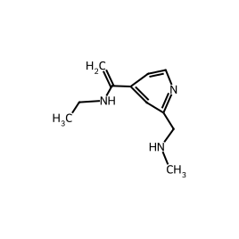 C=C(NCC)c1ccnc(CNC)c1